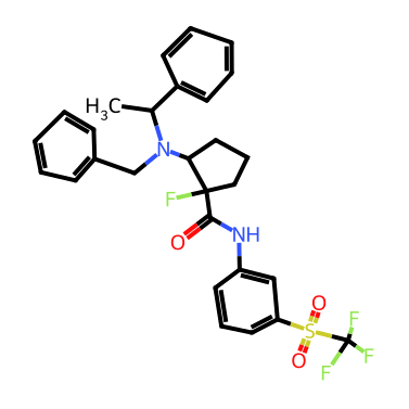 CC(c1ccccc1)N(Cc1ccccc1)C1CCCC1(F)C(=O)Nc1cccc(S(=O)(=O)C(F)(F)F)c1